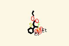 C=CCOC(=O)c1sc2ccccc2c1C(F)P(=O)(OCC)OCC